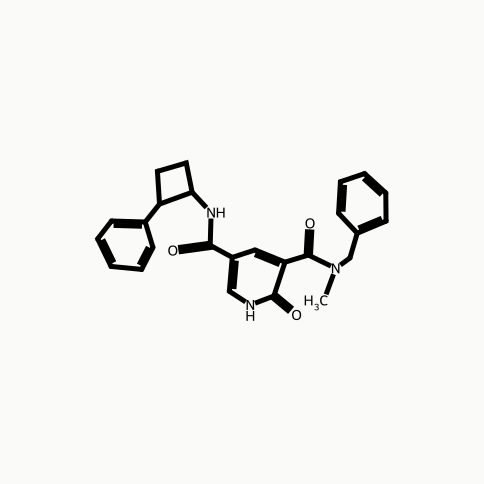 CN(Cc1ccccc1)C(=O)c1cc(C(=O)NC2CCC2c2ccccc2)c[nH]c1=O